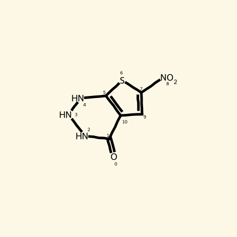 O=C1NNNc2sc([N+](=O)[O-])cc21